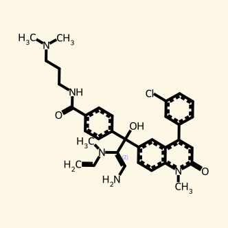 C=CN(C)/C(=C\N)C(O)(c1ccc(C(=O)NCCCN(C)C)cc1)c1ccc2c(c1)c(-c1cccc(Cl)c1)cc(=O)n2C